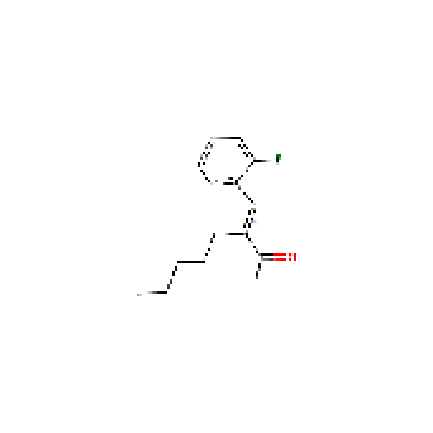 CCCCC/C(=C\c1ccccc1F)C(C)=O